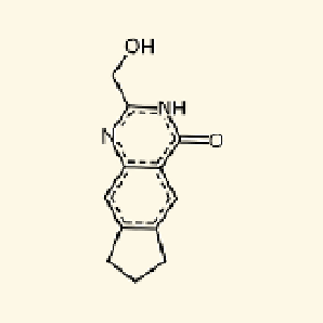 O=c1[nH]c(CO)nc2cc3c(cc12)CCC3